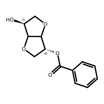 O=C(O[C@@H]1COC2C1OC[C@@H]2O)c1ccccc1